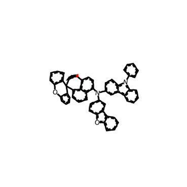 c1ccc(-n2c3ccccc3c3cc(N(c4ccc5oc6ccccc6c5c4)c4ccc5c6c(cccc46)C4(c6ccccc6Oc6ccccc64)c4ccccc4-5)ccc32)cc1